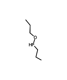 CCCOPCCC